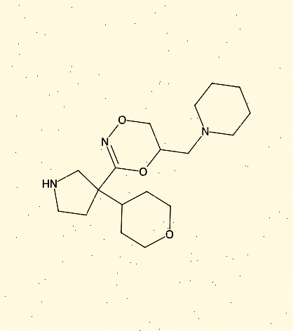 C1CCN(CC2CON=C(C3(C4CCOCC4)CCNC3)O2)CC1